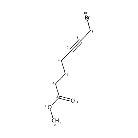 COC(=O)CCCC#CCBr